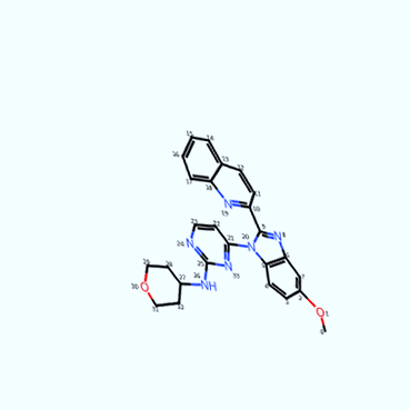 COc1ccc2c(c1)nc(-c1ccc3ccccc3n1)n2-c1ccnc(NC2CCOCC2)n1